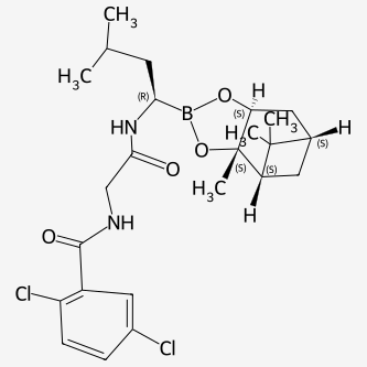 CC(C)C[C@H](NC(=O)CNC(=O)c1cc(Cl)ccc1Cl)B1O[C@H]2C[C@@H]3C[C@@H](C3(C)C)[C@]2(C)O1